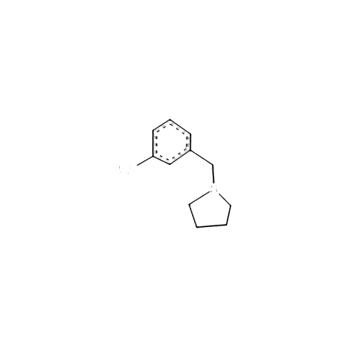 FC(F)(F)c1c[c]cc(CN2CCCC2)c1